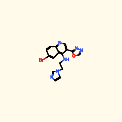 Brc1ccc2ncc(-c3nnco3)c(NCCn3ccnc3)c2c1